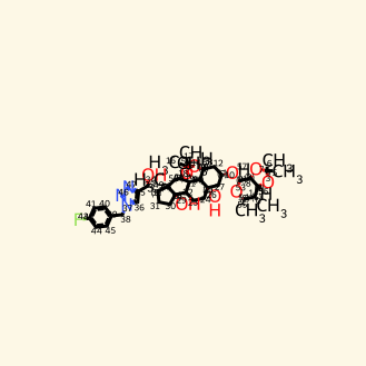 C[C@@H]1[C@H]2OC(C)(C)O[C@H]2[C@H](O[C@H]2C[C@H]3OC(C)(C)OC[C@]34C3C(CC[C@]4(O)C2)[C@@]2(O)CC[C@H](C(O)c4cn(Cc5ccc(F)cc5)nn4)[C@@]2(C)C[C@H]3C)O[C@H]1C